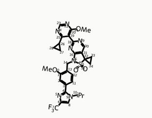 COc1cc(-c2nc(C(F)(F)F)cn2C(C)C)ccc1CN1c2nc(-c3c(OC)ncnc3C3CC3)ncc2C2(CC2)S1(=O)=O